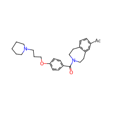 CC(=O)c1ccc2c(c1)CCN(C(=O)c1ccc(OCCCN3CCCCC3)cc1)CC2